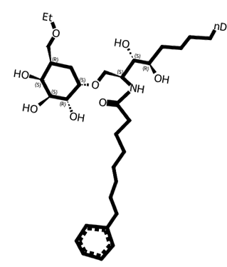 CCCCCCCCCCCCCC[C@@H](O)[C@@H](O)[C@H](CO[C@H]1C[C@H](COCC)[C@H](O)[C@H](O)[C@H]1O)NC(=O)CCCCCCCc1ccccc1